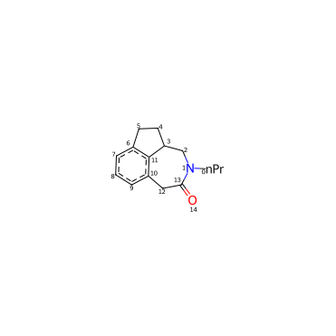 CCCN1CC2CCc3cccc(c32)CC1=O